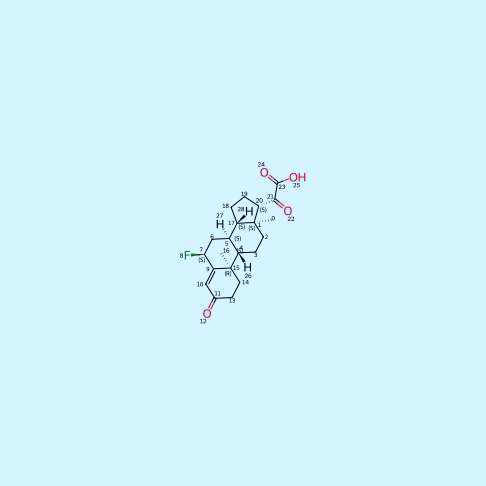 C[C@]12CC[C@H]3[C@@H](C[C@H](F)C4=CC(=O)CC[C@@]43C)[C@@H]1CC[C@@H]2C(=O)C(=O)O